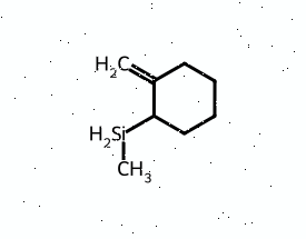 C=C1CCCCC1[SiH2]C